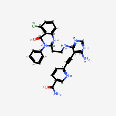 NC(=O)c1ccc(C#Cc2c(N)ncnc2NCCc2nc3cccc(Cl)c3c(=O)n2-c2ccccc2)nc1